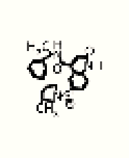 CC1CCCN([S+]([O-])c2ccc3[nH]c(=O)cc(C(=O)NC(C)c4ccccc4)c3c2)C1